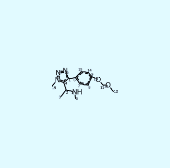 CNC(C)c1c(-c2ccc(OCOC)cc2)nnn1C